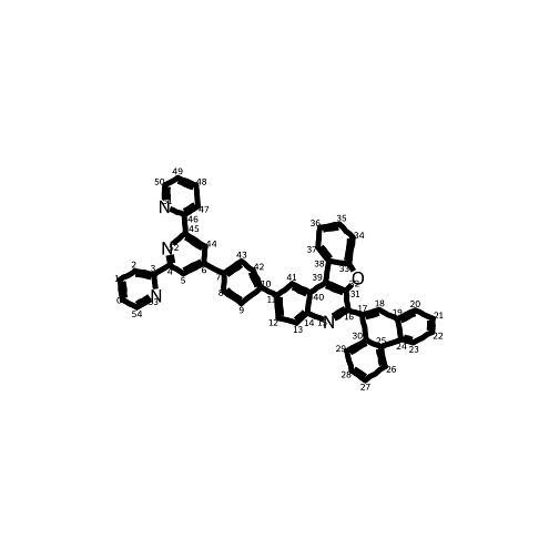 c1ccc(-c2cc(-c3ccc(-c4ccc5nc(-c6cc7ccccc7c7ccccc67)c6oc7ccccc7c6c5c4)cc3)cc(-c3ccccn3)n2)nc1